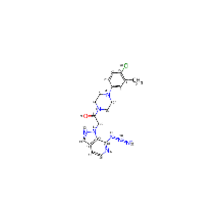 Cc1cc(N2CCN(C(=O)Cn3ncc4ccnc(N=[N+]=[N-])c43)CC2)ccc1Cl